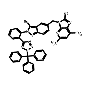 CCc1nc2c(C)cc(C)nc2n1Cc1ccc2nn(-c3ccccc3-c3nnn(C(c4ccccc4)(c4ccccc4)c4ccccc4)n3)c(Br)c2c1